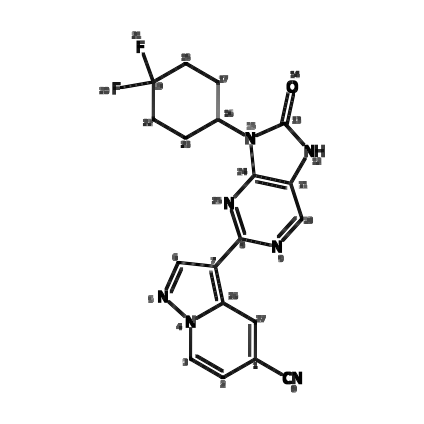 N#Cc1ccn2ncc(-c3ncc4[nH]c(=O)n(C5CCC(F)(F)CC5)c4n3)c2c1